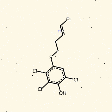 CC/C=C/CCSc1cc(Cl)c(O)c(Cl)c1Cl